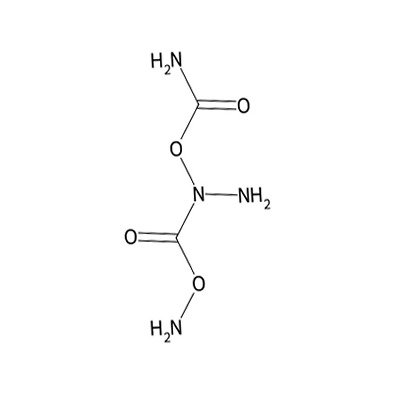 NOC(=O)N(N)OC(N)=O